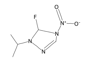 CC(C)N1N=CN([N+](=O)[O-])C1F